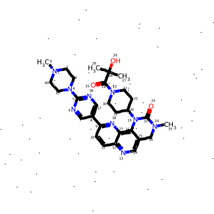 CN1CCN(c2ncc(-c3ccc4ncc5c(c4n3)N(C3CCN(C(=O)C(C)(C)O)CC3)C(=O)N(C)C5)cn2)CC1